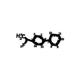 CC(F)c1ccc(-c2ccccc2)cc1